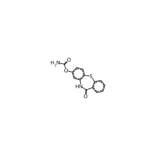 NC(=O)Oc1ccc2c(c1)NC(=O)c1ccccc1S2